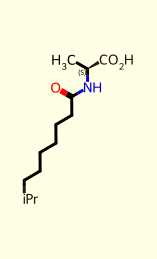 CC(C)CCCCCCC(=O)N[C@@H](C)C(=O)O